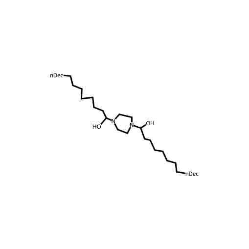 CCCCCCCCCCCCCCCCCC(O)N1CCN(C(O)CCCCCCCCCCCCCCCCC)CC1